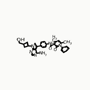 Cc1cc(C)n(-c2ccccc2)c(=O)c1C(=O)Nc1ccc(-c2cn(C3CC(CO)C3)c3ncnc(N)c23)cc1